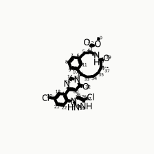 COC(=O)[C@H]1Cc2cccc(c2)[C@@H](n2cnc(-c3cc(Cl)ccc3N3C=C(Cl)NN3)cc2=O)CCC[C@@H](C)C(=O)N1